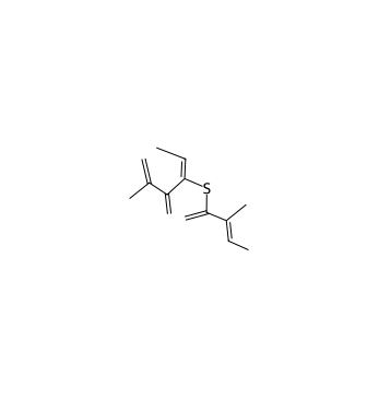 C=C(C)C(=C)/C(=C\C)SC(=C)/C(C)=C/C